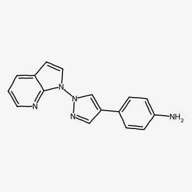 Nc1ccc(-c2cnn(-n3ccc4cccnc43)c2)cc1